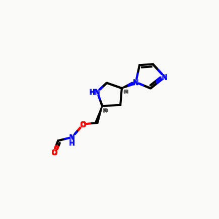 O=CNOC[C@@H]1C[C@H](n2ccnc2)CN1